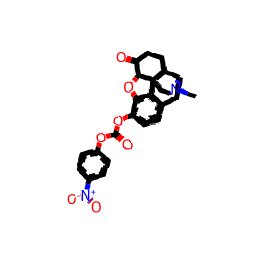 CN1CCC23c4c5ccc(OC(=O)Oc6ccc([N+](=O)[O-])cc6)c4OC2C(=O)CCC3C1C5